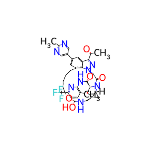 CC(=O)c1nn2c3c(cc(-c4cnc(C)nc4)cc13)CCCCCOC(O)NC[C@@]13C[C@@H](C(=O)Nc4nc(C(F)(F)F)ccc4C)N(C(=O)C2)[C@@H]1C3